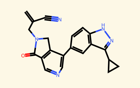 C=C(C#N)CN1Cc2c(cncc2-c2ccc3[nH]nc(C4CC4)c3c2)C1=O